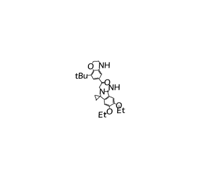 CCOc1cc2c(cc1OCC)C1(CC1)N(CC(=O)c1cc3c(c(C(C)(C)C)c1)OCCN3)C2=N